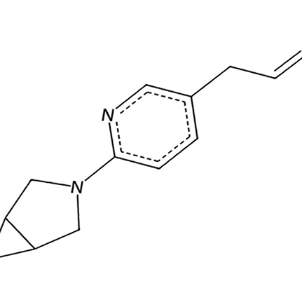 O=CCc1ccc(N2CC3CC3C2)nc1